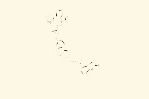 CCN(CCCNC[C@H](O)c1ccc(O)c2[nH]c(=O)ccc12)C(=O)c1ccc(CCC(=O)N2CC(C(=O)O)(c3ccccc3)[C@H]2C2CN3CCC2CC3)cc1